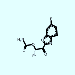 CC[C@H](OC(N)=O)C(=O)c1nc2ccc(F)cc2o1